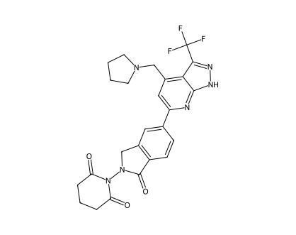 O=C1c2ccc(-c3cc(CN4CCCC4)c4c(C(F)(F)F)n[nH]c4n3)cc2CN1N1C(=O)CCCC1=O